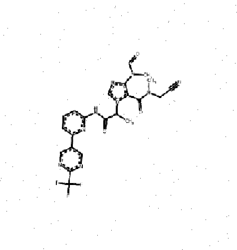 CC(C(=O)Nc1cccc(-c2cnc(C(F)(F)F)nc2)n1)n1cnc(N(C)C=O)c1C(=O)N(C)CC#N